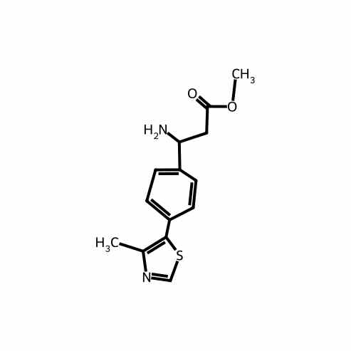 COC(=O)CC(N)c1ccc(-c2scnc2C)cc1